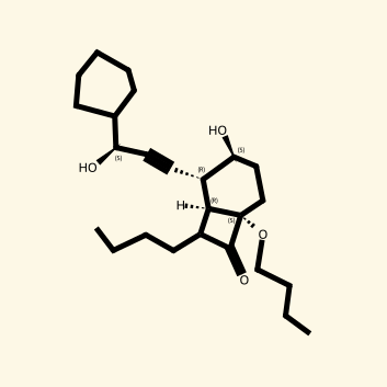 CCCCO[C@@]12CC[C@H](O)[C@@H](C#C[C@@H](O)C3CCCCC3)[C@@H]1C(CCCC)C2=O